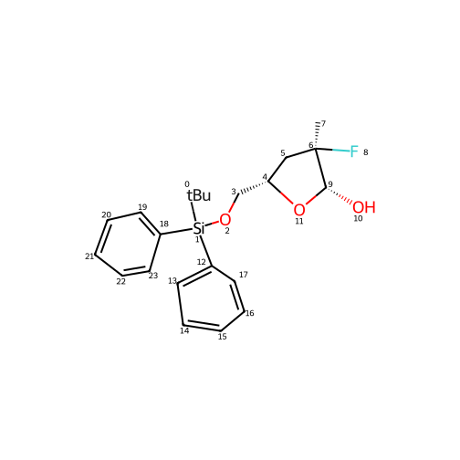 CC(C)(C)[Si](OC[C@@H]1C[C@@](C)(F)[C@H](O)O1)(c1ccccc1)c1ccccc1